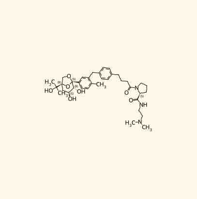 Cc1ccc([C@@]23OC[C@@](C(C)(C)O)(C[C@H](O)[C@H]2O)O3)cc1Cc1ccc(CCCC(=O)N2CCC[C@H]2C(=O)NCCN(C)C)cc1